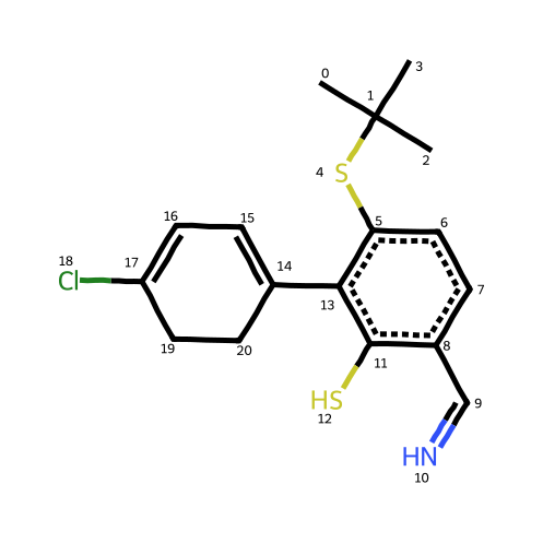 CC(C)(C)Sc1ccc(C=N)c(S)c1C1=CC=C(Cl)CC1